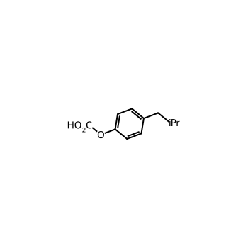 CC(C)Cc1ccc(OC(=O)O)cc1